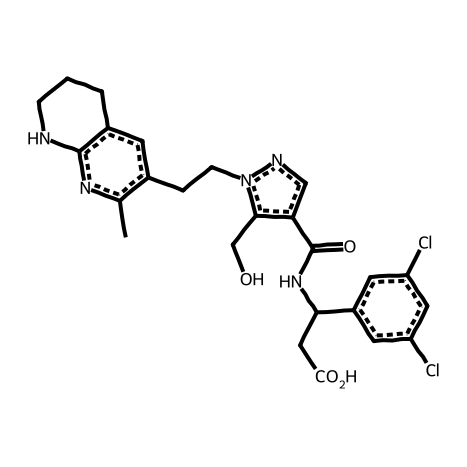 Cc1nc2c(cc1CCn1ncc(C(=O)NC(CC(=O)O)c3cc(Cl)cc(Cl)c3)c1CO)CCCN2